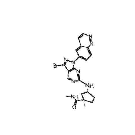 CNC(=O)[C@]1(C)CC[C@@H](Nc2ncc3c(Br)nn(-c4ccc5nnccc5c4)c3n2)C1